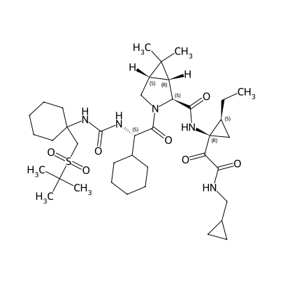 CC[C@H]1C[C@]1(NC(=O)[C@@H]1[C@@H]2[C@H](CN1C(=O)[C@@H](NC(=O)NC1(CS(=O)(=O)C(C)(C)C)CCCCC1)C1CCCCC1)C2(C)C)C(=O)C(=O)NCC1CC1